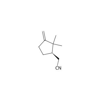 C=C1CC[C@H](CC#N)C1(C)C